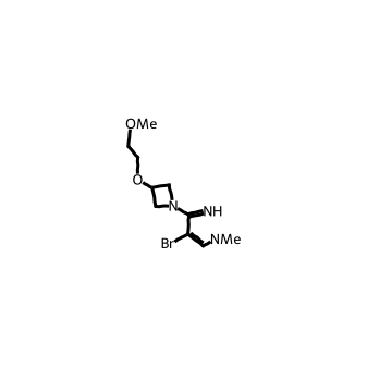 CN/C=C(/Br)C(=N)N1CC(OCCOC)C1